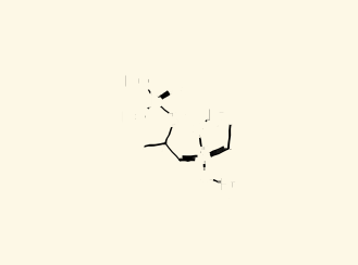 CC=S(=CC(C)SP(=O)(O)O)(OCC)OCC